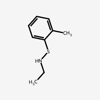 CCNSc1ccccc1C